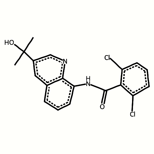 CC(C)(O)c1cnc2c(NC(=O)c3c(Cl)cccc3Cl)cccc2c1